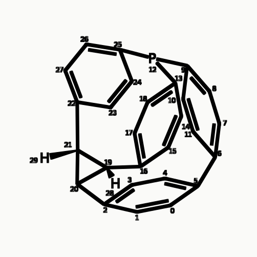 c1cc2ccc1-c1ccc(cc1)P1c3ccc(cc3)[C@@H]3C2[C@@H]3c2ccc1cc2